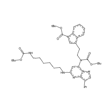 CC(C)c1cnn2c(N(CCc3cn(C(=O)OC(C)(C)C)c4ccccc34)C(=O)OC(C)(C)C)cc(NCCCCCCNC(=O)OC(C)(C)C)nc12